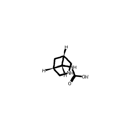 O=C(O)N[C@@H]1[C@@H]2CNC[C@H]1C2